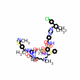 Cc1ncsc1-c1ccc([C@H](C)NC(=O)[C@@H]2C[C@@H](O)CN2C(=O)[C@@H](NC(=O)CCCCN(C)CC[C@H](CSc2ccccc2)Nc2ccc(S(=O)(=O)NC(=O)c3ccc(N4CCN(CC5=C(c6ccc(Cl)cc6)CCC(C)(C)C5)CC4)cc3)cc2S(=O)(=O)C(F)(F)F)C(C)(C)C)cc1